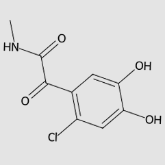 CNC(=O)C(=O)c1cc(O)c(O)cc1Cl